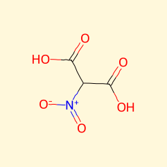 O=C(O)C(C(=O)O)[N+](=O)[O-]